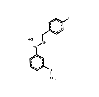 COc1cccc(NNCc2ccc(Cl)cc2)c1.Cl